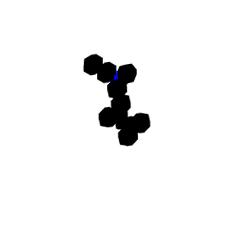 c1ccc(-c2ccc(-n3c4ccccc4c4cc(-c5ccc6c(c5)-c5ccccc5C(Cc5cc7ccccc7c7ccccc57)C6)ccc43)cc2)cc1